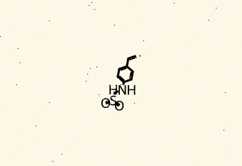 [CH]=Cc1ccc(NC[SH](=O)=O)cc1